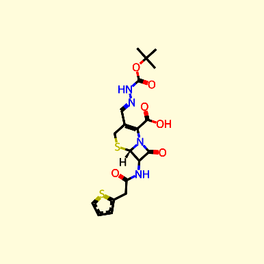 CC(C)(C)OC(=O)NN=CC1=C(C(=O)O)N2C(=O)C(NC(=O)Cc3cccs3)[C@@H]2SC1